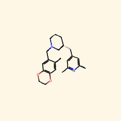 Cc1cc(C[C@H]2CCCN(Cc3cc4c(cc3C)OCCO4)C2)cc(C)n1